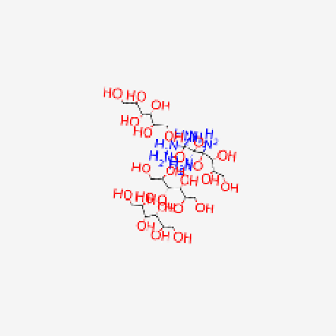 NOC(N)(N)[C@@](N)(ON)[C@@](N)(ON)[C@H](O)[C@H](O)CO.OC[C@@H](O)[C@@H](O)[C@H](O)[C@H](O)CO.OC[C@@H](O)[C@@H](O)[C@H](O)[C@H](O)CO.OC[C@@H](O)[C@@H](O)[C@H](O)[C@H](O)CO